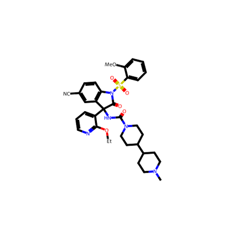 CCOc1ncccc1C1(NC(=O)N2CCC(C3CCN(C)CC3)CC2)C(=O)N(S(=O)(=O)c2ccccc2OC)c2ccc(C#N)cc21